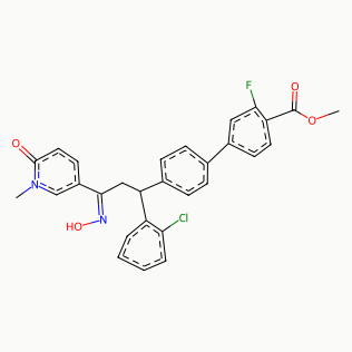 COC(=O)c1ccc(-c2ccc(C(CC(=NO)c3ccc(=O)n(C)c3)c3ccccc3Cl)cc2)cc1F